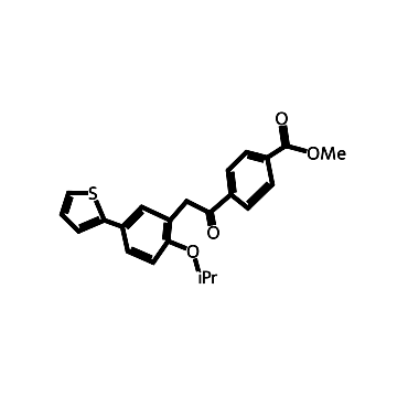 COC(=O)c1ccc(C(=O)Cc2cc(-c3cccs3)ccc2OC(C)C)cc1